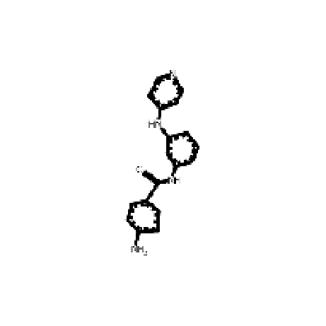 Nc1ccc(C(=O)Nc2cccc(Nc3ccncc3)c2)cc1